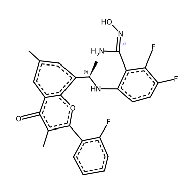 Cc1cc([C@@H](C)Nc2ccc(F)c(F)c2/C(N)=N/O)c2oc(-c3ccccc3F)c(C)c(=O)c2c1